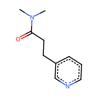 CN(C)C(=O)CCc1cccnc1